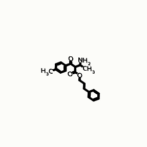 Cc1ccc(C(=O)C(C(=O)OCCCc2ccccc2)C(C)N)cc1